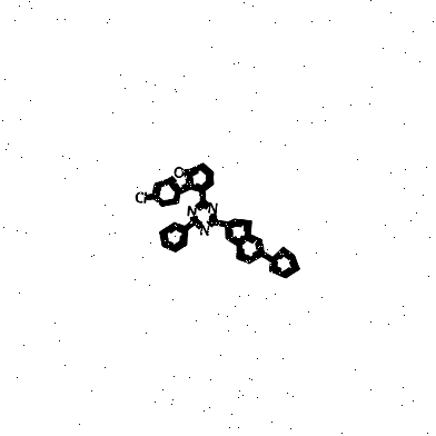 ClC1=Cc2oc3cccc(-c4nc(-c5ccccc5)nc(-c5ccc6cc(-c7ccccc7)ccc6c5)n4)c3c2CC1